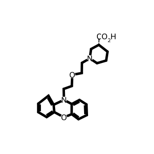 O=C(O)[C@@H]1CCCN(CCOCCN2c3ccccc3Oc3ccccc32)C1